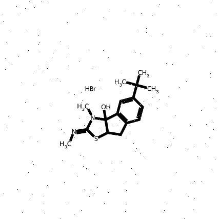 Br.C/N=C1\SC2Cc3ccc(C(C)(C)C)cc3C2(O)N1C